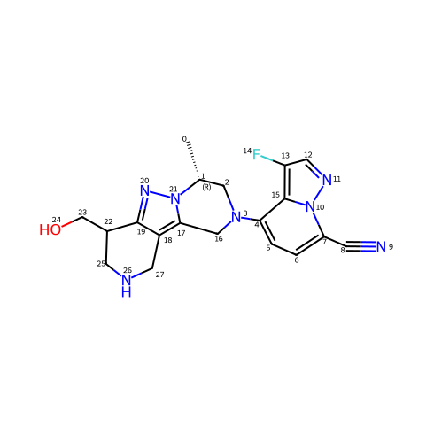 C[C@@H]1CN(c2ccc(C#N)n3ncc(F)c23)Cc2c3c(nn21)C(CO)CNC3